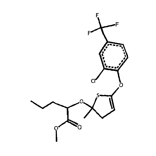 CCCC(OC1(C)CC=C(Oc2ccc(C(F)(F)F)cc2Cl)S1)C(=O)OC